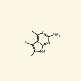 Cc1[nH]c2nc(N)nc(C)c2c1I